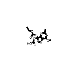 CCOC(=O)OC1(OC(=O)O)N=Nc2c(OC)nc(C)nc21